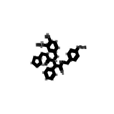 CCCCCc1ccc(CNC(=O)C(c2ccccc2)N(Cc2ccc(O)c(C(=O)O)c2)C(=O)CCC2CCCC2)cc1